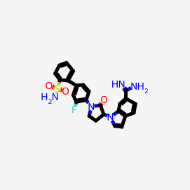 N=C(N)c1ccc2ccn(C3CCN(c4ccc(-c5ccccc5S(N)(=O)=O)cc4F)C3=O)c2c1